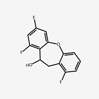 OC1Cc2c(F)cccc2Oc2cc(F)cc(F)c21